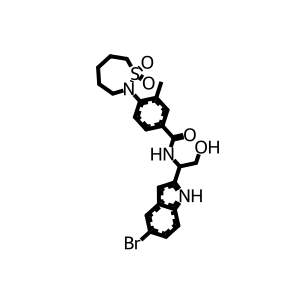 Cc1cc(C(=O)NC(CO)c2cc3cc(Br)ccc3[nH]2)ccc1N1CCCCCS1(=O)=O